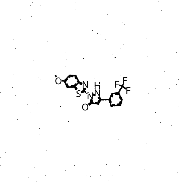 COc1ccc2nc(-n3[nH]c(-c4cccc(C(F)(F)F)c4)cc3=O)sc2c1